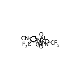 [C-]#[N+]c1ccc(N2C(=O)[C@]3(C)CC(C(F)(F)F)=NN3S2(=O)=O)cc1C(F)(F)F